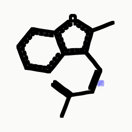 C=C(C)/C=C\c1c(C)oc2ccccc12